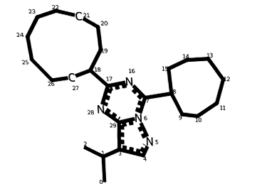 CC(C)c1cnn2c(C3CCCCCCC3)nc(C3CCCCCCCCC3)nc12